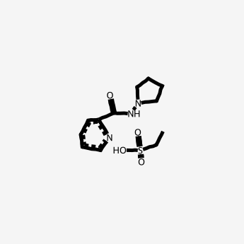 CCS(=O)(=O)O.O=C(NN1CCCC1)c1ccccn1